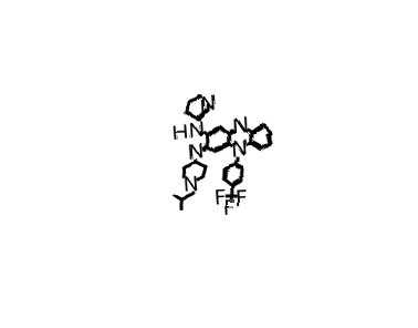 CC(C)CN1CCC(/N=c2\cc3n(-c4ccc(C(F)(F)F)cc4)c4ccccc4nc-3cc2NC2=CN=CCC2)CC1